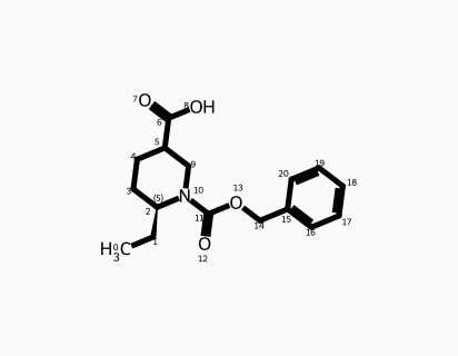 CC[C@H]1CCC(C(=O)O)CN1C(=O)OCc1ccccc1